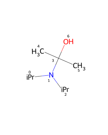 CC(C)N(C(C)C)C(C)(C)O